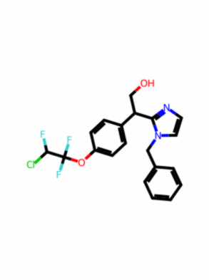 OCC(c1ccc(OC(F)(F)C(F)Cl)cc1)c1nccn1Cc1ccccc1